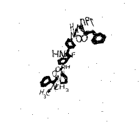 CCCN(CC(=O)Nc1ccc(-c2[nH]c3ccc(NC(=O)[C@@H]4CCCN4C(=O)[C@@H](c4ccccc4)N(C)C)cc3c2F)cc1)C(=O)Cc1ccccc1